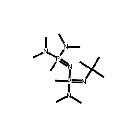 CN(C)P(C)(=NC(C)(C)C)N=P(C)(N(C)C)N(C)C